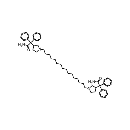 NC(=O)C(c1ccccc1)(c1ccccc1)C1CCN(CCCCCCCCCCCCCCCCN2CCC(C(C(N)=O)(c3ccccc3)c3ccccc3)C2)C1